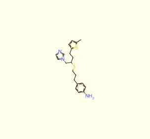 Cc1ccc(CCC(Cn2ccnc2)SCCCc2ccc(N)cc2)s1